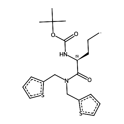 [CH2]CC[C@H](NC(=O)OC(C)(C)C)C(=O)N(Cc1cccs1)Cc1cccs1